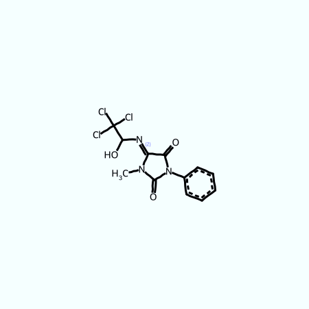 CN1C(=O)N(c2ccccc2)C(=O)/C1=N/C(O)C(Cl)(Cl)Cl